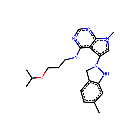 Cc1ccc2c(c1)NN(c1cn(C)c3ncnc(NCCCOC(C)C)c13)C2